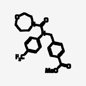 COC(=O)c1ccc(CN(C(=O)N2CCCOCC2)c2ccc(C(F)(F)F)cc2)cc1